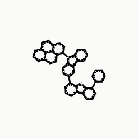 c1ccc(-c2cccc3c2oc2c(-c4ccc5c(c4)c4ccccc4n5-c4ccc5ccc6cccc7ccc4c5c67)cccc23)cc1